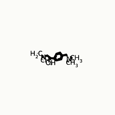 [CH2]N(C)CC(O)c1ccc(CN(C)C)cc1